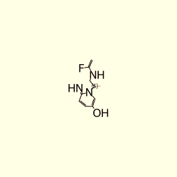 C=C(F)NC[C@H](C)n1cc(O)ccc1=N